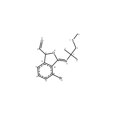 CSCC(C)(C)N=C1OC(C=O)c2cccc(Br)c21